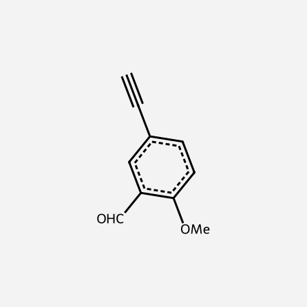 C#Cc1ccc(OC)c(C=O)c1